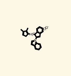 CC1=CC[C]([Hf+2][CH]2C(n3ccc4ccccc43)=Cc3ccccc32)=C1C.[Cl-].[Cl-]